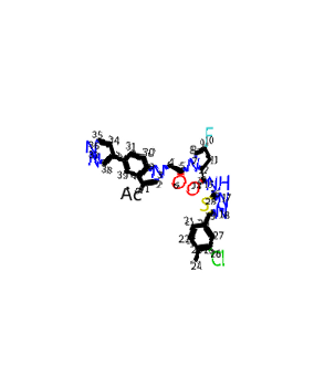 CC(=O)c1cn(CC(=O)N2CC(F)C[C@H]2C(=O)Nc2nnc(-c3ccc(C)c(Cl)c3)s2)c2ccc(-c3ccnnc3)cc12